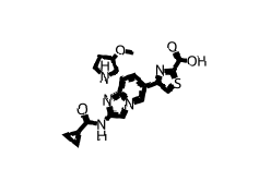 COC1CCNC1.O=C(O)c1nc(-c2ccc3nc(NC(=O)C4CC4)cn3c2)cs1